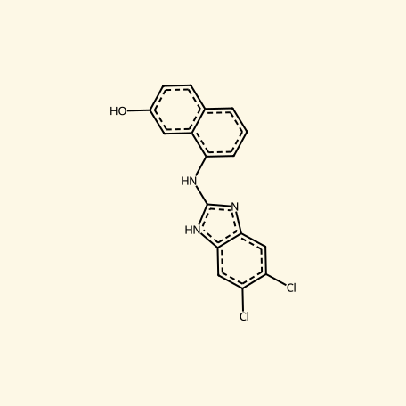 Oc1ccc2cccc(Nc3nc4cc(Cl)c(Cl)cc4[nH]3)c2c1